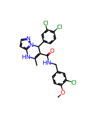 COc1ccc(CNC(=O)C2=C(C)Nc3ccnn3C2c2ccc(Cl)c(Cl)c2)cc1Cl